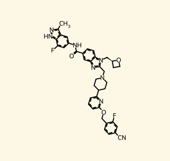 Cc1n[nH]c2c(F)cc(NC(=O)c3ccc4c(c3)nc(CN3CCC(c5cccc(OCc6ccc(C#N)cc6F)n5)CC3)n4C[C@@H]3CCO3)cc12